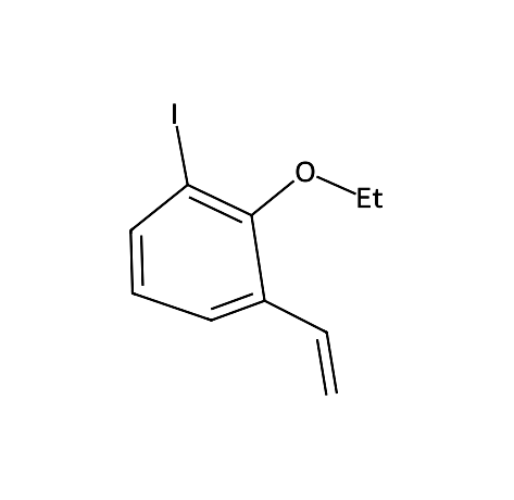 C=Cc1cccc(I)c1OCC